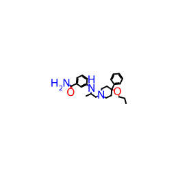 CCCOC1(c2ccccc2)CCN(CC(C)Nc2cccc(C(N)=O)c2)CC1